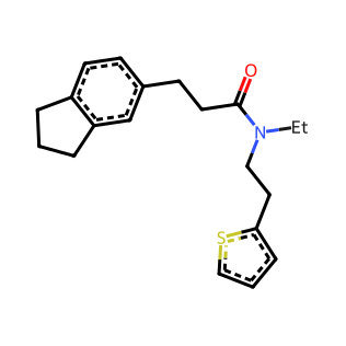 CCN(CCc1cccs1)C(=O)CCc1ccc2c(c1)CCC2